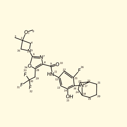 COC1(C)CN(c2nc(C(=O)Nc3cc(O)c(N4C5CCCC4CC5)c(F)c3)c(CC(F)(F)F)o2)C1